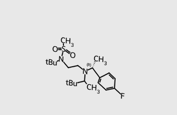 CC(N(CCN(C(C)(C)C)S(C)(=O)=O)[C@H](C)c1ccc(F)cc1)C(C)(C)C